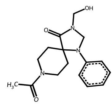 CC(=O)N1CCC2(CC1)C(=O)N(CO)CN2c1ccccc1